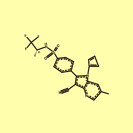 Cc1cnc2c(C#N)c(-c3ccc(S(=O)(=O)N[C@H](C)C(F)(F)F)cc3)n(C3=CC=C3)c2c1